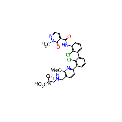 COc1nc(-c2cccc(-c3cccc(NC(=O)c4ccnn(C)c4=O)c3Cl)c2Cl)ccc1CNC[C@H](C)C(=O)O